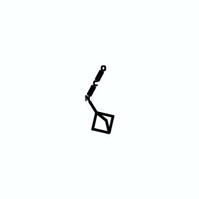 O=C=NC12CC(C1)C2